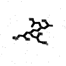 CC(O)CN(CCN(CC(O)CC(Cl)(Cl)Cl)CC(O)CC(Cl)(Cl)Cl)CC(C)O